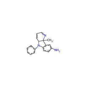 CC12N=CC=CC1N(c1ccccc1)c1ccc(N)cc12